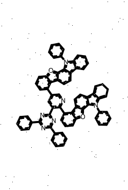 C1=c2c(n(-c3ccccc3)c3c2ccc2c3oc3cccc(-c4ncc(-c5cccc6oc7c(ccc8c9ccccc9n(-c9ccccc9)c87)c56)cc4-c4nc(-c5ccccc5)nc(-c5ccccc5)n4)c32)=CCC1